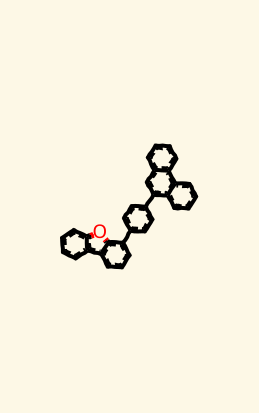 c1ccc2c(c1)cc(-c1ccc(-c3cccc4c3oc3ccccc34)cc1)c1ccccc12